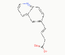 O=C(O)CC=Cc1ccc2ncccc2c1